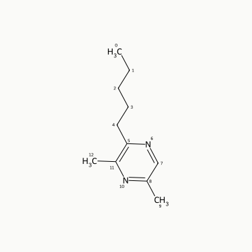 CCCCCc1ncc(C)nc1C